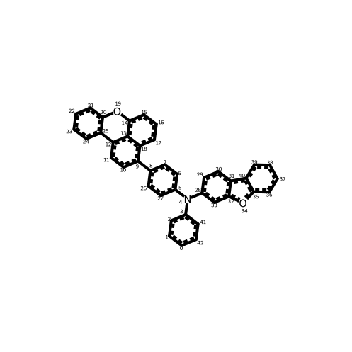 c1ccc(N(c2ccc(-c3ccc4c5c(cccc35)Oc3ccccc3-4)cc2)c2ccc3c(c2)oc2ccccc23)cc1